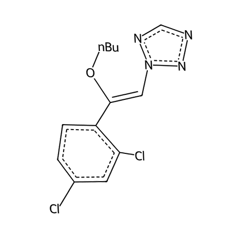 CCCCOC(=Cn1ncnn1)c1ccc(Cl)cc1Cl